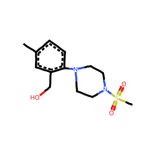 Cc1ccc(N2CCN(S(C)(=O)=O)CC2)c(CO)c1